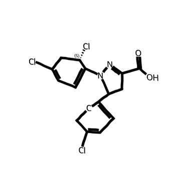 O=C(O)C1=NN(C2=CC=C(Cl)C[C@@H]2Cl)C(C2=CC=C(Cl)CC2)C1